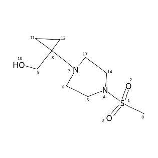 CS(=O)(=O)N1CCN(C2(CO)CC2)CC1